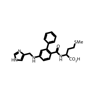 CSCCC(NC(=O)c1ccc(NCc2c[nH]cn2)cc1-c1ccccc1)C(=O)O